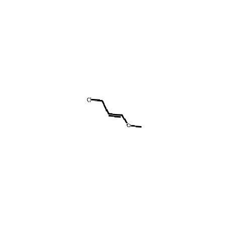 COC=CCCl